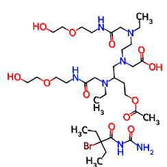 CCC(Br)(CC)C(=O)NC(N)=O.CCN(CCN(CC(=O)O)CC(CCOC(C)=O)N(CC)CC(=O)NCCOCCO)CC(=O)NCCOCCO